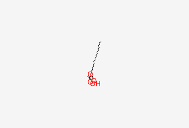 CCCCCCCCCCCCCCCCCCCCCOc1ccc(S(=O)(=O)O)cc1C